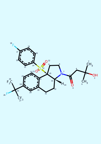 CC(C)(O)CC(=O)N1CC[C@@]2(S(=O)(=O)c3ccc(F)cc3)c3ccc(C(F)(C(F)(F)F)C(F)(F)F)cc3CC[C@@H]12